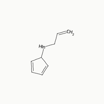 C=C[CH2][InH][CH]1C=CC=C1